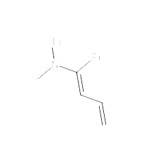 C=C/C=C(\CC)N(C)C(C)C